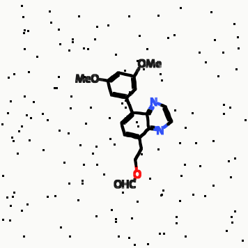 COc1cc(OC)cc(-c2ccc(CCOC=O)c3nccnc23)c1